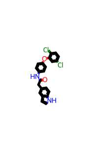 O=C(Cc1ccc2[nH]ccc2c1)Nc1ccc(Oc2cc(Cl)ccc2Cl)cc1